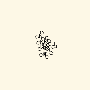 CC1(C)C2=C(c3ccccc31)N(c1ccccc1)c1cc(N(c3ccccc3)c3ccccc3)cc3c1B2c1cc2c(cc1N3c1ccccc1)N(c1ccccc1)c1cc(N(c3ccccc3)c3ccccc3)cc3c1B2c1ccccc1O3